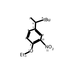 CCOc1ccc(C(C)C(C)(C)C)cc1[N+](=O)[O-]